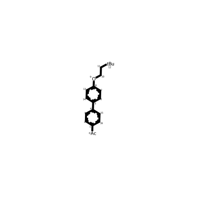 CC(=O)c1ccc(-c2ccc(OCCC(C)(C)C)cc2)cc1